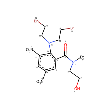 CCN(CCO)C(=O)c1cc([N+](=O)[O-])cc([N+](=O)[O-])c1N(CCBr)CCBr